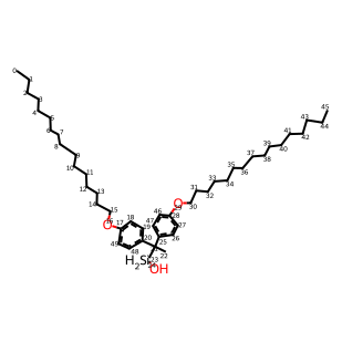 CCCCCCCCCCCCCCCCOc1ccc(C(C)([SiH2]O)c2ccc(OCCCCCCCCCCCCCCCC)cc2)cc1